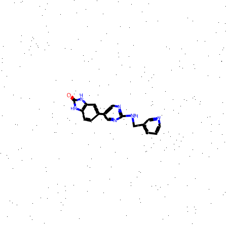 O=c1[nH]c2ccc(-c3cnc(NCc4cccnc4)nc3)cc2[nH]1